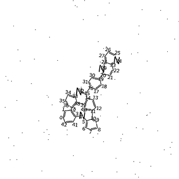 c1ccc(-n2c3ccccc3c3ccc4c(-c5ccc(-c6ccc7ncccc7n6)cc5)nc5ccccc5c4c32)cc1